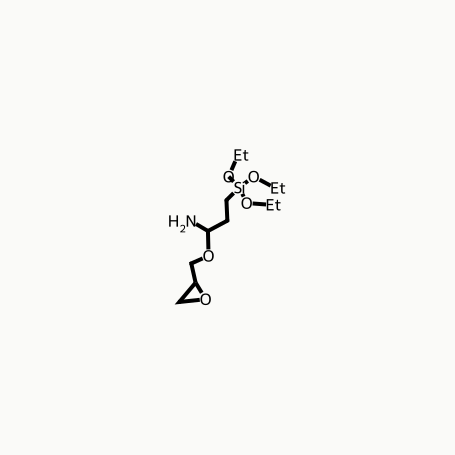 CCO[Si](CCC(N)OCC1CO1)(OCC)OCC